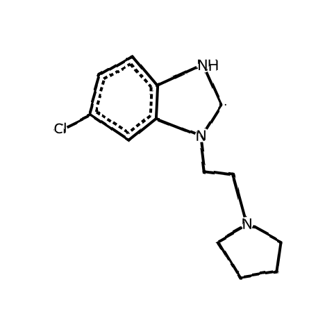 Clc1ccc2c(c1)N(CCN1CCCC1)[CH]N2